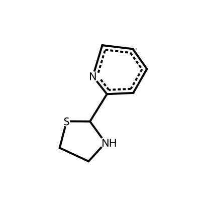 [c]1ccc(C2NCCS2)nc1